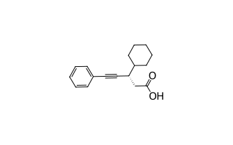 O=C(O)C[C@H](C#Cc1ccccc1)C1CCCCC1